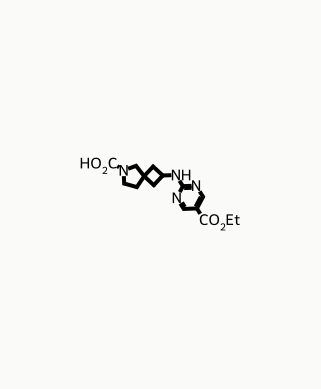 CCOC(=O)c1cnc(NC2CC3(CCN(C(=O)O)C3)C2)nc1